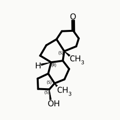 C[C@]12CCC(=O)CC1CC[C@@H]1C2CC[C@@]2(C)C1CC[C@@H]2O